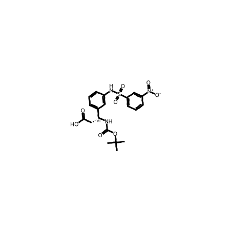 CC(C)(C)OC(=O)N[C@H](CC(=O)O)c1cccc(NS(=O)(=O)c2cccc([N+](=O)[O-])c2)c1